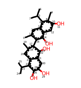 Cc1cc2c(C(C)C)c(C)c(O)cc2c(O)c1-c1c(C)cc2c(C(C)C)c(O)c(O)cc2c1O